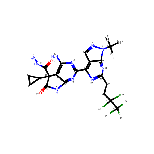 [2H]C([2H])([2H])n1ncc2c(-c3nc(N)c4c(n3)NC(=O)C4(C(=O)NN)C3CC3)nc(CCC(F)(F)C(F)(F)F)nc21